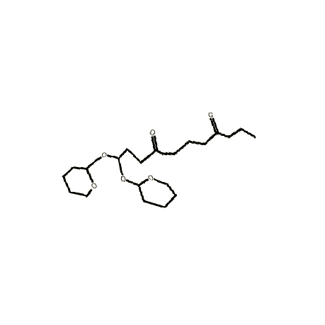 CCCC(=O)CCCC(=O)CCC(OC1CCCCO1)OC1CCCCO1